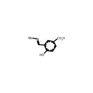 CC(C)(C)/N=C/c1cc(C(=O)O)ccc1O